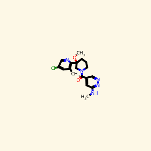 CNc1cc(C(=O)N2CCCC(OC)(c3ncc(Cl)cc3C)C2)cnn1